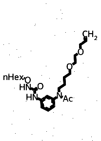 C=CCOCCOCCCCN(C(C)=O)c1cccc(NC(=O)NOCCCCCC)c1